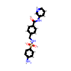 Nc1ccc(S(=O)(=O)NCc2ccc(C(=O)Nc3cccnc3)cc2)cc1